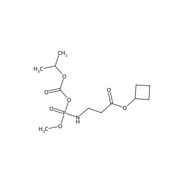 COP(=O)(NCCC(=O)OC1CCC1)OC(=O)OC(C)C